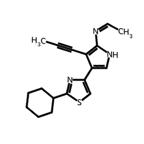 CC#Cc1c(-c2csc(C3CCCCC3)n2)c[nH]c1/N=C\C